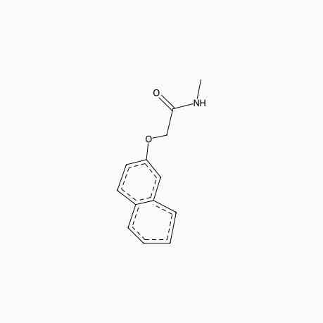 CNC(=O)COc1ccc2ccccc2c1